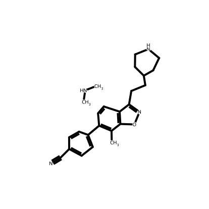 CNC.Cc1c(-c2ccc(C#N)cc2)ccc2c(CCC3CCNCC3)noc12